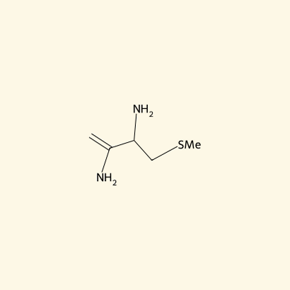 C=C(N)C(N)CSC